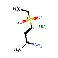 CCS(=O)(=O)/C=C/[C@@H](C)N.Cl